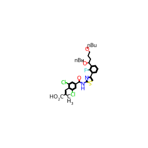 CCCCOCCCC(OCCCC)c1cccc(-c2csc(NC(=O)c3cc(Cl)c(C=C(C)C(=O)O)c(Cl)c3)n2)c1F